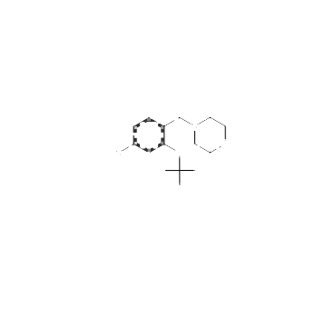 Nc1ccc(CN2CCOCC2)c(OC(F)(F)F)c1